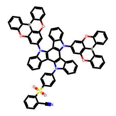 N#Cc1ccccc1S(=O)(=O)c1ccc(-n2c3ccccc3c3c2c2c4ccccc4n(-c4cc5c6c(c4)Oc4ccccc4B6c4ccccc4O5)c2c2c4ccccc4n(-c4cc5c6c(c4)Oc4ccccc4B6c4ccccc4O5)c32)cc1